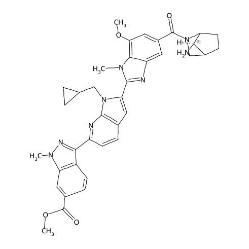 COC(=O)c1ccc2c(-c3ccc4cc(-c5nc6cc(C(=O)N7CC8CCC7[C@@H]8N)cc(OC)c6n5C)n(CC5CC5)c4n3)nn(C)c2c1